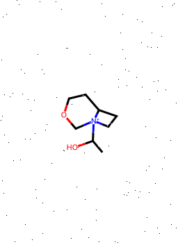 CC(O)[N+]12CCC1CCOC2